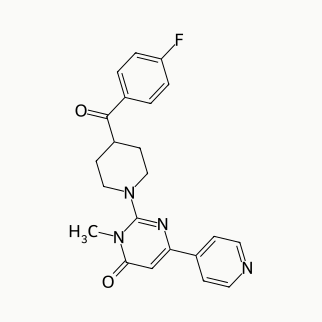 Cn1c(N2CCC(C(=O)c3ccc(F)cc3)CC2)nc(-c2ccncc2)cc1=O